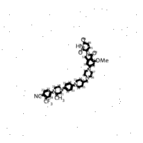 COc1cc(N2CCN(CC3CCN(c4ccc(N5CCN(c6ccc(C#N)c(C(F)(F)F)c6)[C@H](C)C5)cc4)CC3)CC2)cc2c1C(=O)N(C1CCC(=O)NC1=O)C2